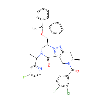 CC(c1cc(F)ccn1)N1C[C@@H](CO[Si](c2ccccc2)(c2ccccc2)C(C)(C)C)n2nc3c(c2C1=O)CN(C(=O)c1ccc(Cl)c(Cl)c1)[C@H](C)C3